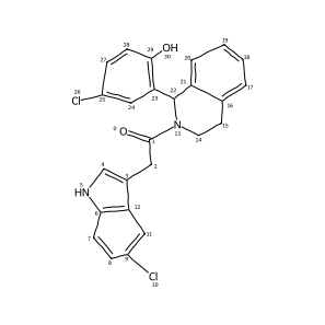 O=C(Cc1c[nH]c2ccc(Cl)cc12)N1CCc2ccccc2C1c1cc(Cl)ccc1O